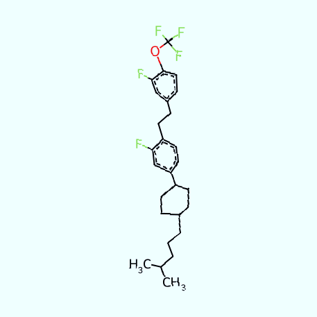 CC(C)CCCC1CCC(c2ccc(CCc3ccc(OC(F)(F)F)c(F)c3)c(F)c2)CC1